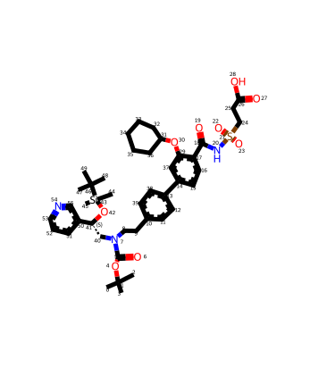 CC(C)(C)OC(=O)N(CCc1ccc(-c2ccc(C(=O)NS(=O)(=O)CCC(=O)O)c(OC3CCCCC3)c2)cc1)C[C@@H](O[Si](C)(C)C(C)(C)C)c1cccnc1